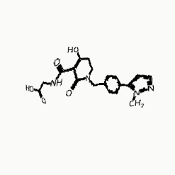 Cn1nccc1-c1ccc(CN2CCC(O)=C(C(=O)NCC(=O)O)C2=O)cc1